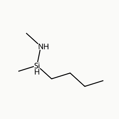 CCCC[SiH](C)NC